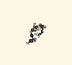 CN(C)CCC=C1c2ccccc2COc2ccccc21.COc1c(C)c2c(c(O)c1C/C=C(\C)CCC(=O)O)C(=O)OC2.N#Cc1ccc(C(c2ccc(C#N)cc2)n2cncn2)cc1